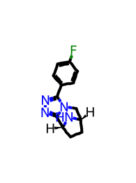 Fc1ccc(-c2nnc3n2C[C@@H]2CC[C@H]3N2)cc1